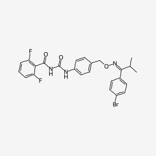 CC(C)C(=NOCc1ccc(NC(=O)NC(=O)c2c(F)cccc2F)cc1)c1ccc(Br)cc1